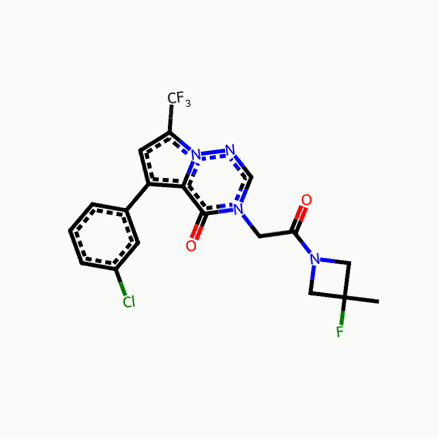 CC1(F)CN(C(=O)Cn2cnn3c(C(F)(F)F)cc(-c4cccc(Cl)c4)c3c2=O)C1